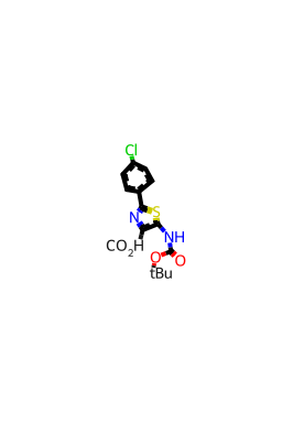 CC(C)(C)OC(=O)Nc1sc(-c2ccc(Cl)cc2)nc1C(=O)O